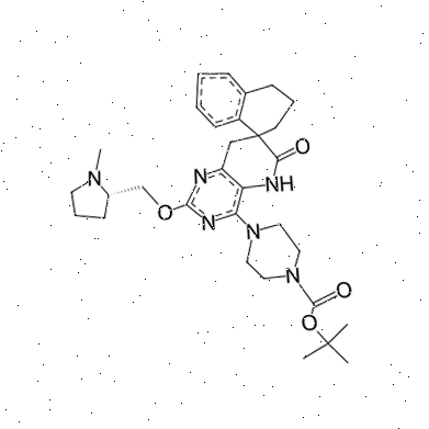 CN1CCC[C@H]1COc1nc2c(c(N3CCN(C(=O)OC(C)(C)C)CC3)n1)NC(=O)C1(CCCc3ccccc31)C2